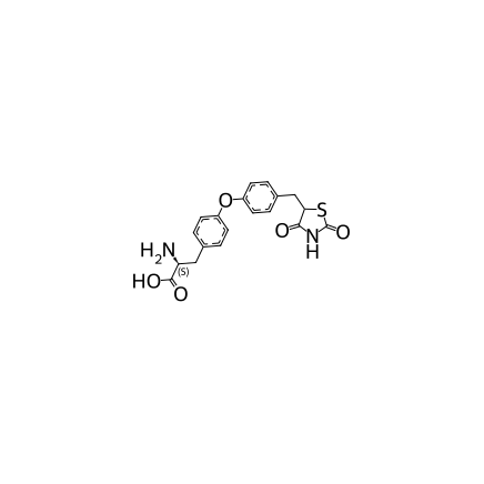 N[C@@H](Cc1ccc(Oc2ccc(CC3SC(=O)NC3=O)cc2)cc1)C(=O)O